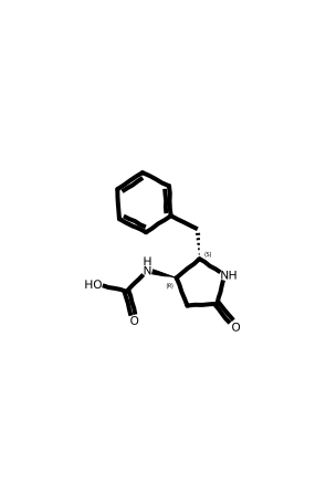 O=C(O)N[C@@H]1CC(=O)N[C@H]1Cc1ccccc1